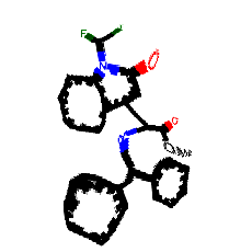 COC(=O)C(N=C(c1ccccc1)c1ccccc1)c1cc(=O)n(C(F)F)c2ccccc12